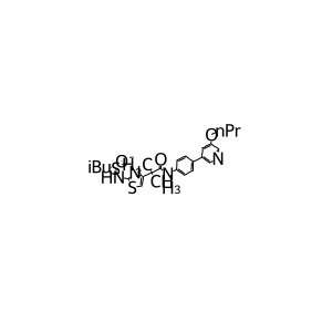 CCCOc1cncc(-c2ccc(NC(=O)C(C)(C)c3csc(N[S+]([O-])C(C)CC)n3)cc2)c1